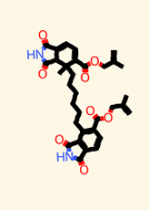 C=C(C)COC(=O)C1=CC=C2C(=O)NC(=O)C2C1(C)CCCCCCc1c(C(=O)OCC(=C)C)ccc2c1C(=O)NC2=O